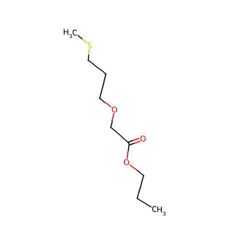 CCCOC(=O)COCCCSC